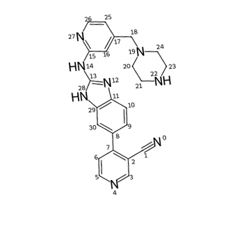 N#Cc1cnccc1-c1ccc2nc(Nc3cc(CN4CCNCC4)ccn3)[nH]c2c1